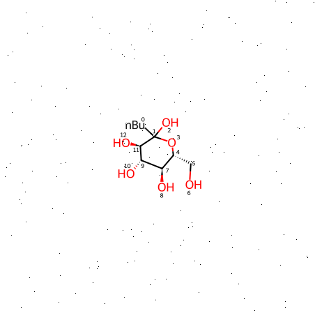 CCCCC1(O)O[C@H](CO)[C@@H](O)[C@H](O)[C@H]1O